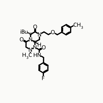 CCC(C)[C@H]1C(=O)N(CCOCc2ccc(C)cc2)C[C@H]2N1C(=O)CN(C)N2C(=O)NCc1ccc(F)cc1